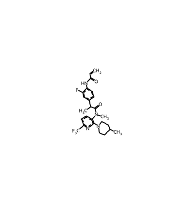 C=CC(=O)Nc1ccc(C(C)C(=O)N(C)c2ccc(C(F)(F)F)nc2N2CCC(C)CC2)cc1F